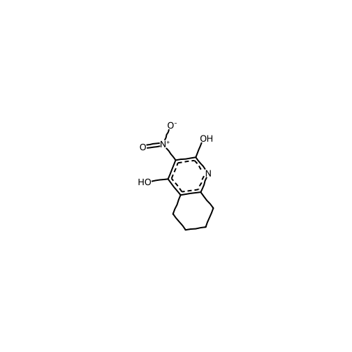 O=[N+]([O-])c1c(O)nc2c(c1O)CCCC2